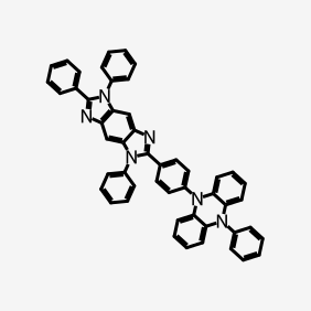 c1ccc(-c2nc3cc4c(cc3n2-c2ccccc2)nc(-c2ccc(N3c5ccccc5N(c5ccccc5)c5ccccc53)cc2)n4-c2ccccc2)cc1